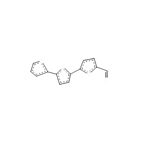 O=Cc1ccc(-c2ccc(-c3cccs3)s2)s1